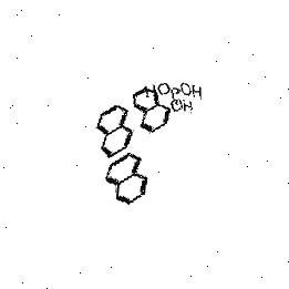 OP(O)O.c1ccc2ccccc2c1.c1ccc2ccccc2c1.c1ccc2ccccc2c1